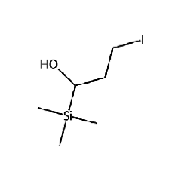 C[Si](C)(C)C(O)CCI